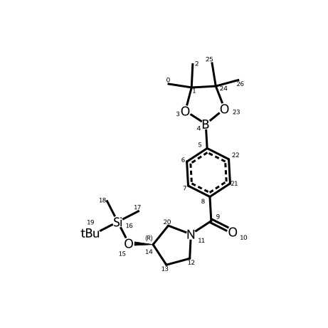 CC1(C)OB(c2ccc(C(=O)N3CC[C@@H](O[Si](C)(C)C(C)(C)C)C3)cc2)OC1(C)C